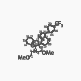 COCCN(CCOC)C(=O)C(C)(Cc1ccccc1)c1ccnc2c(-c3ccc(C(F)(F)F)cc3)cnn12